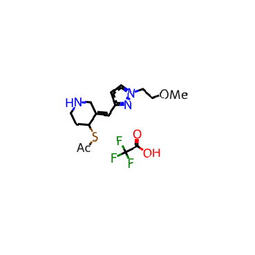 COCCn1ccc(/C=C2\CNCCC2SC(C)=O)n1.O=C(O)C(F)(F)F